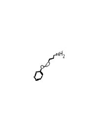 NCCCOOc1ccccc1